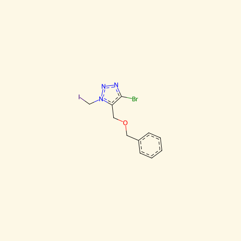 Brc1nnn(CI)c1COCc1ccccc1